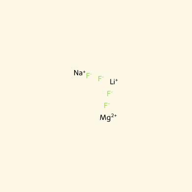 [F-].[F-].[F-].[F-].[Li+].[Mg+2].[Na+]